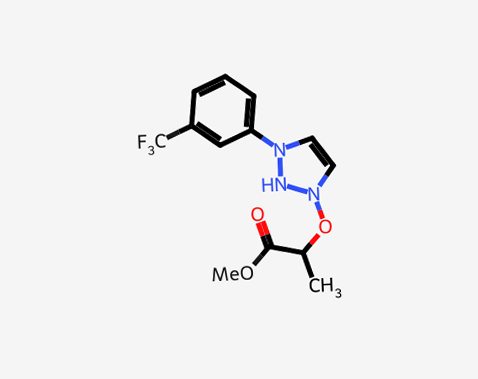 COC(=O)C(C)ON1C=CN(c2cccc(C(F)(F)F)c2)N1